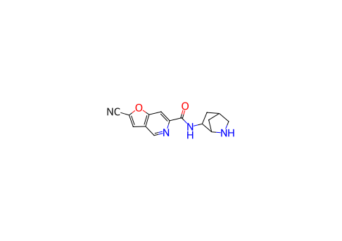 N#Cc1cc2cnc(C(=O)NC3CC4CNC3C4)cc2o1